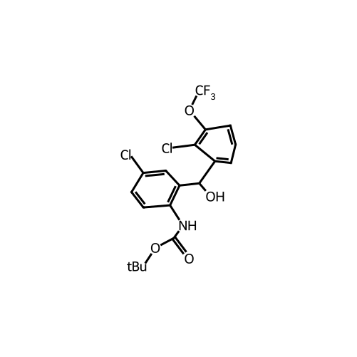 CC(C)(C)OC(=O)Nc1ccc(Cl)cc1C(O)c1cccc(OC(F)(F)F)c1Cl